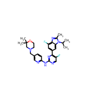 Cc1nc2c(F)cc(-c3nc(Nc4ccc(CN5CCOC(C)(C)C5)cn4)ncc3F)cc2n1C(C)C